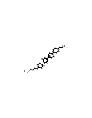 CCCCC[C@H]1CC[C@H](c2ccc(C34CCC(C5CCC(CCC)CC5)(CC3)CC4)cc2)CC1